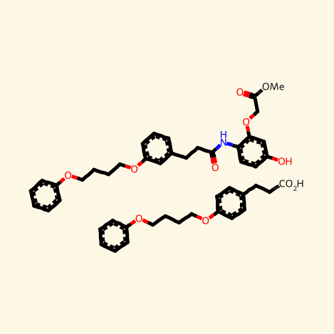 COC(=O)COc1cc(O)ccc1NC(=O)CCc1cccc(OCCCCOc2ccccc2)c1.O=C(O)CCc1ccc(OCCCCOc2ccccc2)cc1